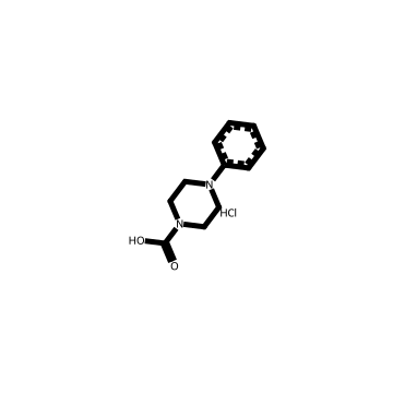 Cl.O=C(O)N1CCN(c2ccccc2)CC1